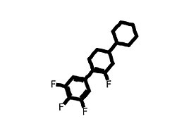 FC1=C(c2cc(F)c(F)c(F)c2)CCC(C2CCCCC2)C1